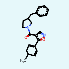 O=C(c1cnoc1C1=CCC(C(F)(F)F)C=C1)N1CCC(Cc2ccccc2)C1